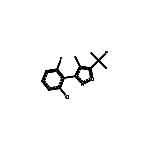 Cc1c(-c2c(F)cccc2Cl)noc1C(C)(C)F